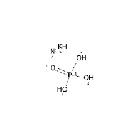 O=P(O)(O)O.[KH].[N]